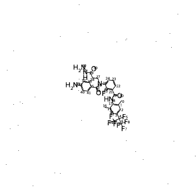 Cc1cc(C(F)(C(F)(F)F)C(F)(F)F)cc(C)c1NC(=O)c1cccc(N(CCC(=O)NN)C(=O)c2ccc(N)cc2)c1F